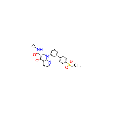 CCS(=O)(=O)c1ccc(-c2cccc(-n3cc(C(=O)NC4CC4)c(=O)c4cccnc43)c2)cc1